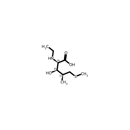 CCN[C@@H](C(=O)O)[C@H](O)[C@H](C)CSC